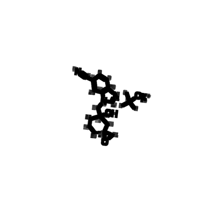 CC(C)(C)[O-].N#Cc1ccc2ncn(C[C@@]3(O)CCC[C@@]4(CO4)C3)c2c1.[K+]